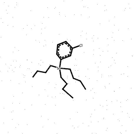 CCC[CH2][Sn]([CH2]CCC)([CH2]CCC)[c]1cccc(Cl)c1